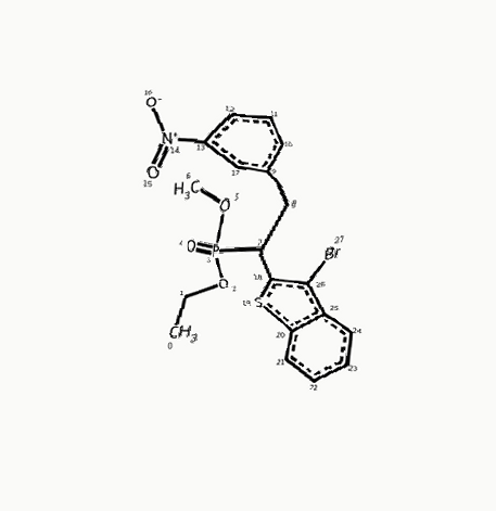 CCOP(=O)(OC)C(Cc1cccc([N+](=O)[O-])c1)c1sc2ccccc2c1Br